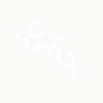 COc1ccc2c(c1OC)CCC(=O)c1c-2[nH]c2cc([N+](=O)[O-])ccc12